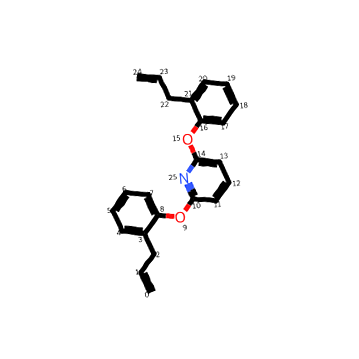 C=CCc1ccccc1Oc1cccc(Oc2ccccc2CC=C)n1